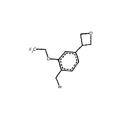 FC(F)(F)COc1cc(C2COC2)ccc1CBr